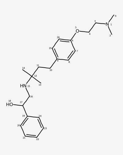 CN(C)CCOc1ccc(CCC(C)(C)NCC(O)c2ccccc2)cc1